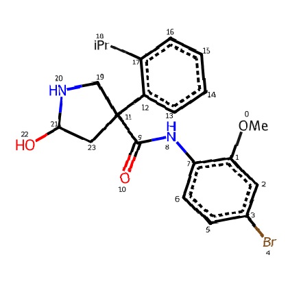 COc1cc(Br)ccc1NC(=O)C1(c2ccccc2C(C)C)CNC(O)C1